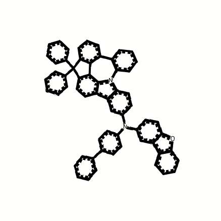 c1ccc(-c2ccc(N(c3ccc4oc5ccccc5c4c3)c3ccc4c(c3)c3ccc5c6c3n4-c3ccccc3-c3cccc(c3-6)C5(c3ccccc3)c3ccccc3)cc2)cc1